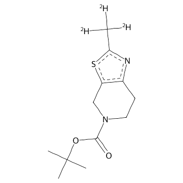 [2H]C([2H])([2H])c1nc2c(s1)CN(C(=O)OC(C)(C)C)CC2